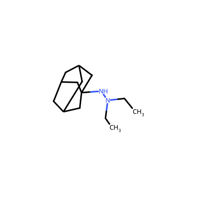 CCN(CC)NC12CC3CC(CC(C3)C1)C2